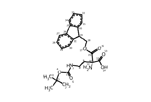 CC(C)(C)OC(=O)NCC[C@](N)(C(=O)O)C(=O)OCC1c2ccccc2-c2ccccc21